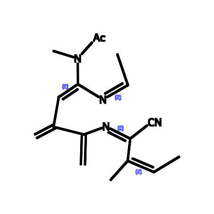 C=C(/C=C(\N=C/C)N(C)C(C)=O)C(=C)/N=C(C#N)\C(C)=C/C